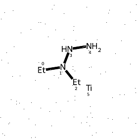 CCN(CC)NN.[Ti]